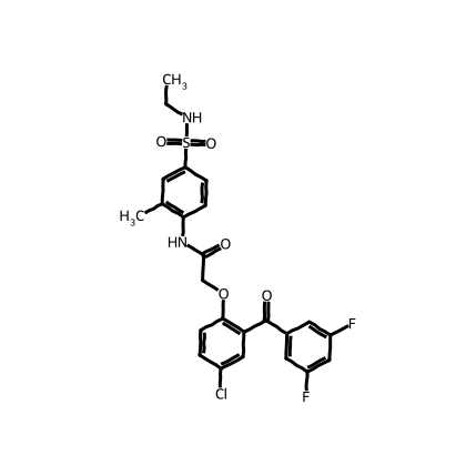 CCNS(=O)(=O)c1ccc(NC(=O)COc2ccc(Cl)cc2C(=O)c2cc(F)cc(F)c2)c(C)c1